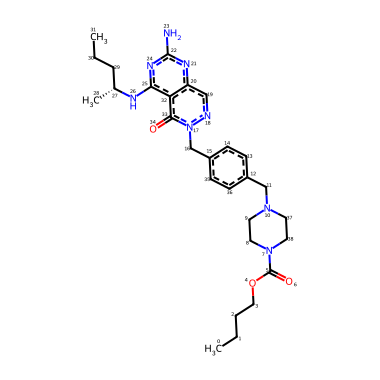 CCCCOC(=O)N1CCN(Cc2ccc(Cn3ncc4nc(N)nc(N[C@H](C)CCC)c4c3=O)cc2)CC1